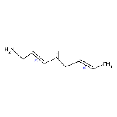 C/C=C/CN/C=C/CN